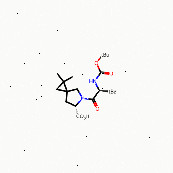 CC(C)(C)OC(=O)N[C@H](C(=O)N1CC2(C[C@H]1C(=O)O)CC2(C)C)C(C)(C)C